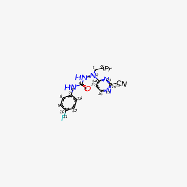 CC(C)CN(NC(=O)Nc1ccc(F)cc1)c1ccnc(C#N)n1